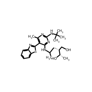 Cc1nc(NC(C)(C)C)nc(NC(C)C[C@H](CO)[C@H](C)O)c1-c1nc2ccccc2s1